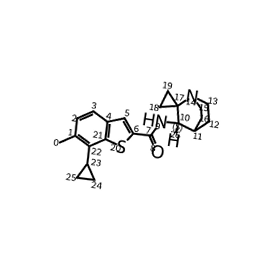 Cc1ccc2cc(C(=O)N[C@H]3C4CCN(CC4)C34CC4)sc2c1C1CC1